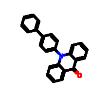 O=c1c2ccccc2n(-c2ccc(-c3ccccc3)cc2)c2ccccc12